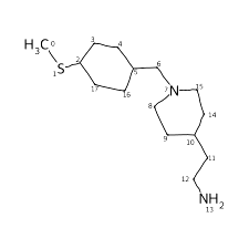 CSC1CCC(CN2CCC(CCN)CC2)CC1